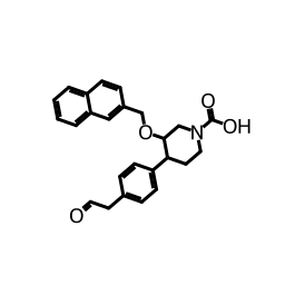 O=CCc1ccc(C2CCN(C(=O)O)CC2OCc2ccc3ccccc3c2)cc1